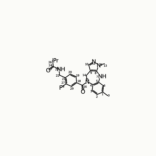 Cc1ccc2c(c1)Nc1c(cnn1C)CN2C(=O)c1ccc(CNC(=O)C(C)C)c(F)c1